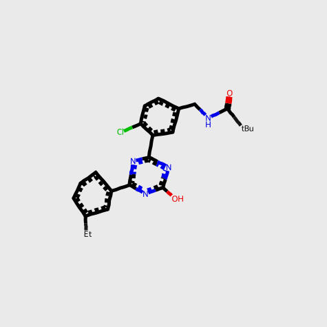 CCc1cccc(-c2nc(O)nc(-c3cc(CNC(=O)C(C)(C)C)ccc3Cl)n2)c1